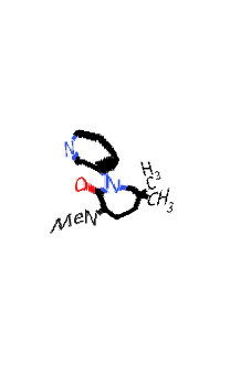 CNC1CCC(C)(C)CN(c2cccnc2)C1=O